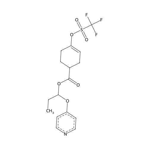 CCC(OC(=O)C1CC=C(OS(=O)(=O)C(F)(F)F)CC1)Oc1ccncc1